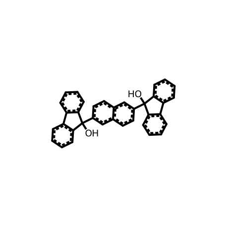 OC1(c2ccc3cc(C4(O)c5ccccc5-c5ccccc54)ccc3c2)c2ccccc2-c2ccccc21